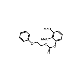 COc1cccc(OC(=O)OCCOc2ccccc2)c1OC